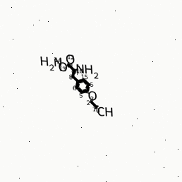 C#CCOc1ccc(C[C@H](N)C(=O)ON)cc1